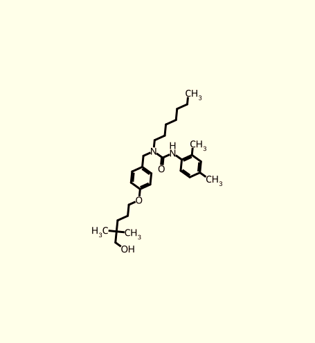 CCCCCCCN(Cc1ccc(OCCCC(C)(C)CO)cc1)C(=O)Nc1ccc(C)cc1C